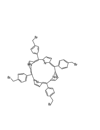 BrCc1ccc(-c2c3nc(c(-c4ccc(CBr)cc4)c4ccc([nH]4)c(-c4ccc(CBr)cc4)c4nc(c(-c5ccc(CBr)cc5)c5ccc2[nH]5)C=C4)C=C3)cc1